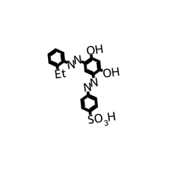 CCc1ccccc1N=Nc1cc(N=Nc2ccc(S(=O)(=O)O)cc2)c(O)cc1O